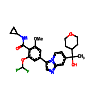 COc1cc(-c2cnc3cc(C(C)(O)C4CCOCC4)ccn23)cc(OC(F)F)c1C(=O)NC1CC1